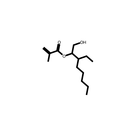 C=C(C)C(=O)OC(CO)C(CC)CCCCC